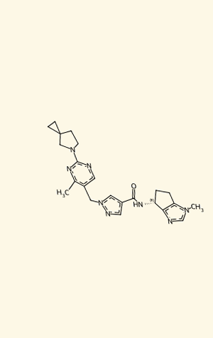 Cc1nc(N2CCC3(CC3)C2)ncc1Cn1cc(C(=O)N[C@@H]2CCc3c2ncn3C)cn1